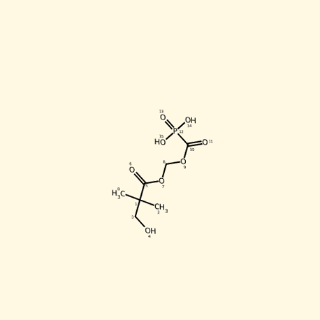 CC(C)(CO)C(=O)OCOC(=O)P(=O)(O)O